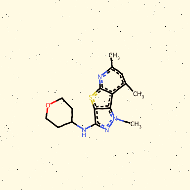 Cc1cc(C)c2c(n1)sc1c(NC3CCOCC3)nn(C)c12